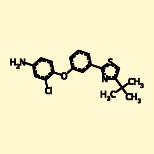 CC(C)(C)c1csc(-c2cccc(Oc3ccc(N)cc3Cl)c2)n1